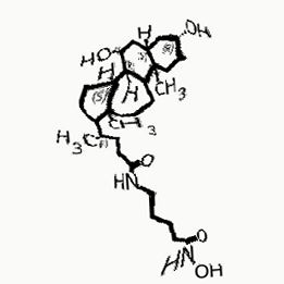 C[C@H](CCC(=O)NCCCCC(=O)NO)C1CC[C@H]2[C@H]3C(CC[C@]12C)[C@@]1(C)CC[C@@H](O)C[C@H]1C[C@@H]3O